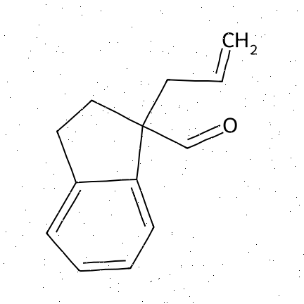 C=CCC1(C=O)CCc2ccccc21